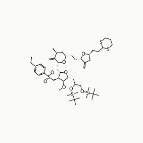 C=C1C[C@H](CCC2SCCCS2)O[C@H]1CC[C@H]1C[C@H](C)C(=C)[C@@H](C[C@@H]2O[C@H](CC(CO[Si](C)(C)C(C)(C)C)O[Si](C)(C)C(C)(C)C)[C@@H](OC)[C@H]2CS(=O)(=O)c2ccc(CC)cc2)O1